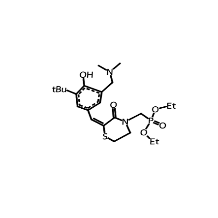 CCOP(=O)(CN1CCSC(=Cc2cc(CN(C)C)c(O)c(C(C)(C)C)c2)C1=O)OCC